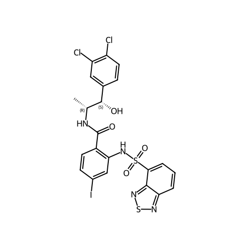 C[C@@H](NC(=O)c1ccc(I)cc1NS(=O)(=O)c1cccc2nsnc12)[C@@H](O)c1ccc(Cl)c(Cl)c1